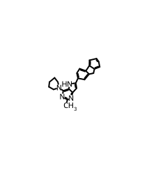 Cc1nc(N2CCCCC2)c2[nH]c(-c3ccc4c(c3)Cc3ccccc3-4)cc2n1